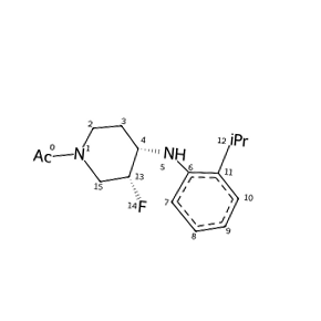 CC(=O)N1CC[C@H](Nc2ccccc2C(C)C)[C@H](F)C1